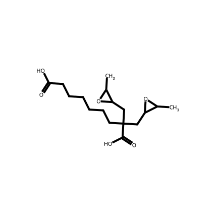 CC1OC1CC(CCCCCCC(=O)O)(CC1OC1C)C(=O)O